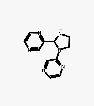 c1cnc(C2NCCN2c2cnccn2)cn1